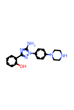 Nc1nc(-c2ccccc2O)nn1-c1ccc(N2CCNCC2)cc1